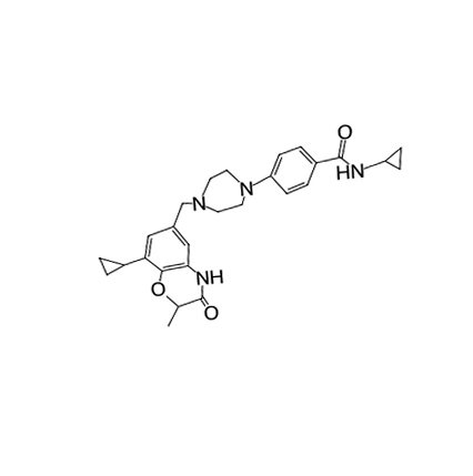 CC1Oc2c(cc(CN3CCN(c4ccc(C(=O)NC5CC5)cc4)CC3)cc2C2CC2)NC1=O